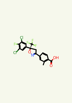 Cc1cc(C2=NO[C@@](c3cc(Cl)c(F)c(Cl)c3)(C(F)(F)F)C2)ccc1C(=O)O